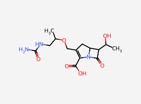 CC(CNC(N)=O)OCC1=C(C(=O)O)N2C(=O)C(C(C)O)C2C1